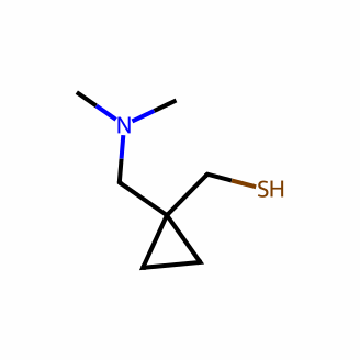 CN(C)CC1(CS)CC1